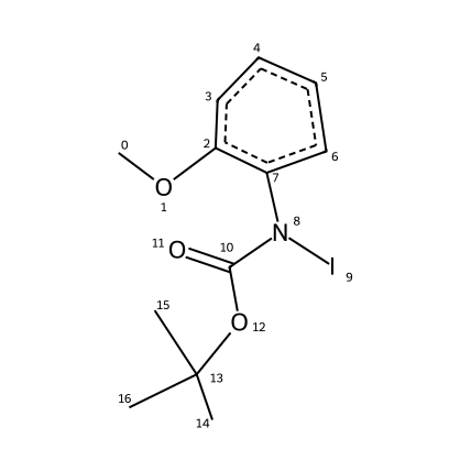 COc1ccccc1N(I)C(=O)OC(C)(C)C